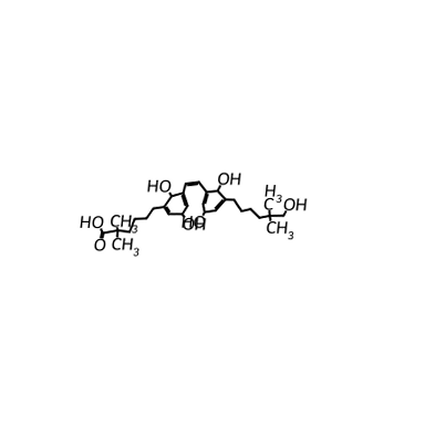 CC(C)(CO)CCCCC1=CC(O)C=C(/C=C\C2=CC(O)C=C(CCCCC(C)(C)C(=O)O)C2O)C1O